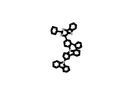 c1ccc(-c2nc(-c3ccc(-n4c5ccccc5c5cc(-n6c7ccccc7c7ccccc76)ccc54)c(-c4ccccc4)c3)c3sc4ccccc4c3n2)cc1